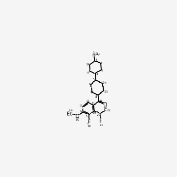 CCCC1CCC(C2CCC(C(=O)c3ccc(OCC)c(F)c3C(F)F)CC2)CC1